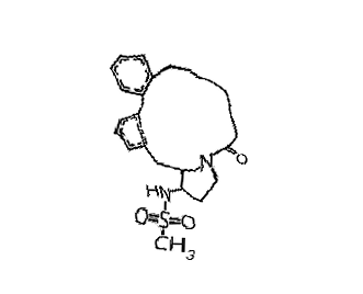 CS(=O)(=O)NC1CCN2C(=O)CCCCCCc3ccccc3-c3cccc(c3)CC12